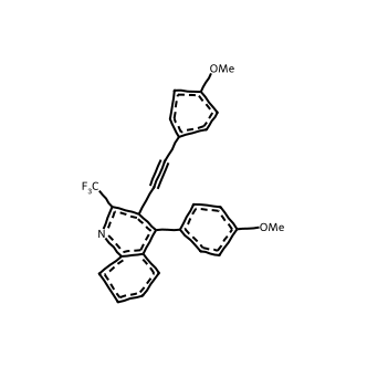 COc1ccc(C#Cc2c(C(F)(F)F)nc3ccccc3c2-c2ccc(OC)cc2)cc1